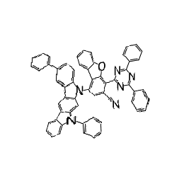 N#Cc1cc(-n2c3ccc(-c4ccccc4)cc3c3cc4c5ccccc5n(-c5ccccc5)c4cc32)c2c(oc3ccccc32)c1-c1nc(-c2ccccc2)nc(-c2ccccc2)n1